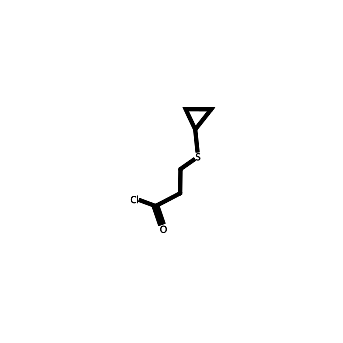 O=C(Cl)CCSC1CC1